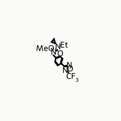 CCN(C(=O)N(Cc1ccc(-c2noc(C(F)(F)F)n2)cc1)OC)C1CC1